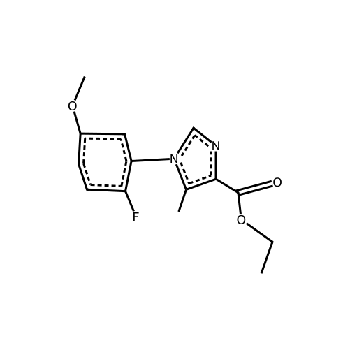 CCOC(=O)c1ncn(-c2cc(OC)ccc2F)c1C